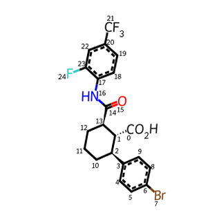 O=C(O)[C@@H]1[C@@H](c2ccc(Br)cc2)CCC[C@H]1C(=O)Nc1ccc(C(F)(F)F)cc1F